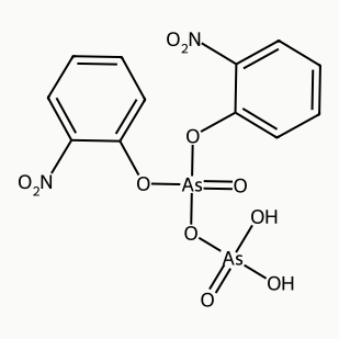 O=[N+]([O-])c1ccccc1O[As](=O)(Oc1ccccc1[N+](=O)[O-])O[As](=O)(O)O